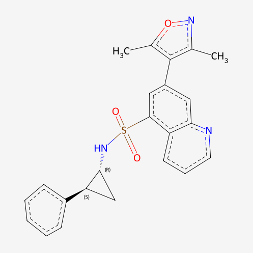 Cc1noc(C)c1-c1cc(S(=O)(=O)N[C@@H]2C[C@H]2c2ccccc2)c2cccnc2c1